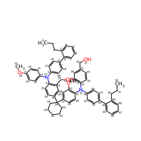 CCCc1ccccc1-c1ccc(N(c2ccc(OC)cc2)c2ccc(C3(c4ccc(N(c5ccc(CO)cc5)c5ccc(-c6ccccc6CCC)cc5)c(OC)c4)CCCCC3)cc2CO)cc1